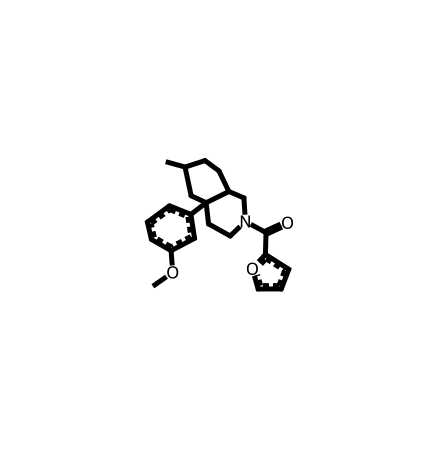 COc1cccc(C23CCN(C(=O)c4ccco4)CC2CCC(C)C3)c1